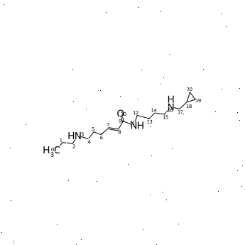 CCCNCCC/C=C/C(=O)NCCCCNCC1CC1